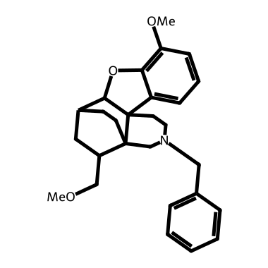 COCC1CC2CCC13CN(Cc1ccccc1)CCC31c3cccc(OC)c3OC21